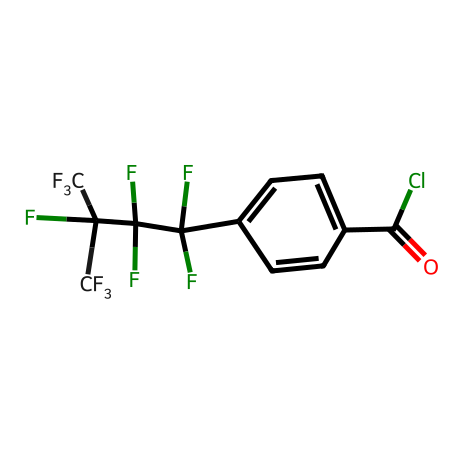 O=C(Cl)c1ccc(C(F)(F)C(F)(F)C(F)(C(F)(F)F)C(F)(F)F)cc1